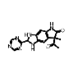 CC(=O)C1(C)C(=O)Nc2cc3c(cc21)NC(c1ncncn1)N3